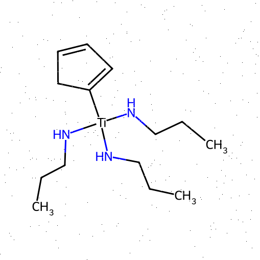 CCC[NH][Ti]([NH]CCC)([NH]CCC)[C]1=CC=CC1